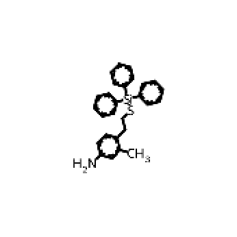 Cc1cc(N)ccc1CCS[Si](c1ccccc1)(c1ccccc1)c1ccccc1